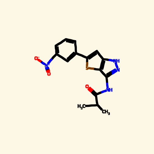 CC(C)C(=O)Nc1n[nH]c2cc(-c3cccc([N+](=O)[O-])c3)sc12